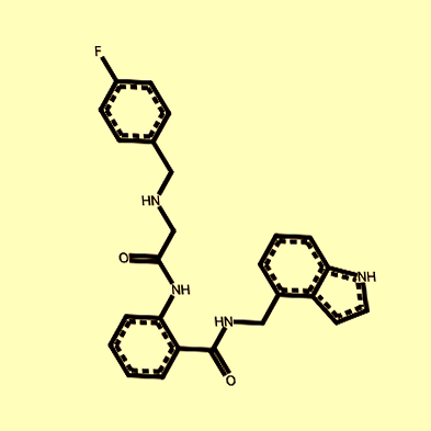 O=C(CNCc1ccc(F)cc1)Nc1ccccc1C(=O)NCc1cccc2[nH]ccc12